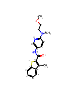 COCCN(C)c1ccc(NC(=O)c2sc3ccccc3c2C)cn1